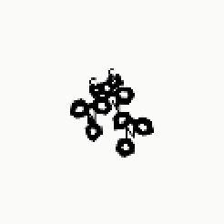 c1ccc(-n2c3ccccc3c3cc(N4c5ccccc5C5(c6cc7c8ccccc8n(-c8ccccc8)c7cc64)c4ccsc4-c4sccc45)ccc32)cc1